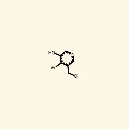 CC(C)c1c(O)cncc1CO